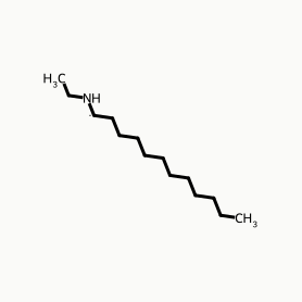 CCCCCCCCCCC[CH]NCC